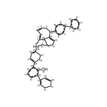 C/C1=C\C=C/CN(c2ccc(-c3ccccc3)cc2)C2=CCC3C(NC4=CC=C(c5cccc(C6=CCCC=C6)c5O)CC4)[C@@]213